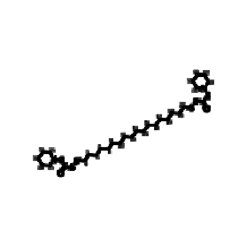 O=C(SSCCCCCCCCCCCCCCCCCCSSC(=O)SN1CCCCC1)SN1CCCCC1